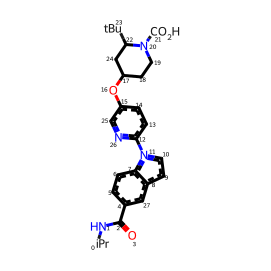 CC(C)NC(=O)c1ccc2c(ccn2-c2ccc(OC3CCN(C(=O)O)C(C(C)(C)C)C3)cn2)c1